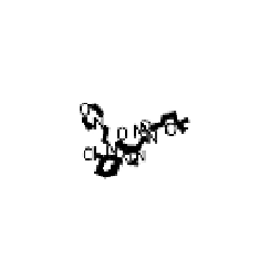 CC1(C)CCC(c2nc(-c3ncn4c3c(=O)n(CCN3CCOCC3)c3c(Cl)cccc34)no2)O1